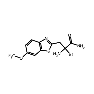 CCC(N)(Cc1nc2ccc(OC(F)(F)F)cc2s1)C(N)=O